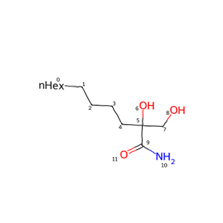 CCCCCCCCCCC(O)(CO)C(N)=O